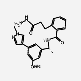 COc1cc(-c2cnn(C)c2)cc([C@@H](C)NC(=O)c2ccccc2CCC(=O)NN)c1